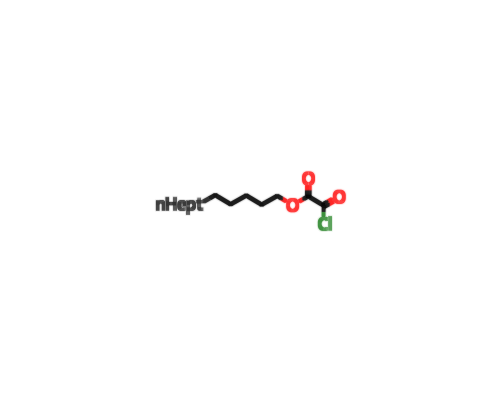 CCCCCCCCCCCCOC(=O)C(=O)Cl